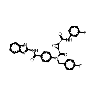 O=C(Nc1nc2ccccc2s1)c1ccc(N(Cc2ccc(F)cc2)C(=O)[C@H]2O[C@@H]2C(=O)Nc2cccc(F)c2)cc1